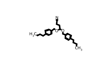 CCCCc1ccc(COC(CCC#N)OCc2ccc(CCCC)cc2)cc1